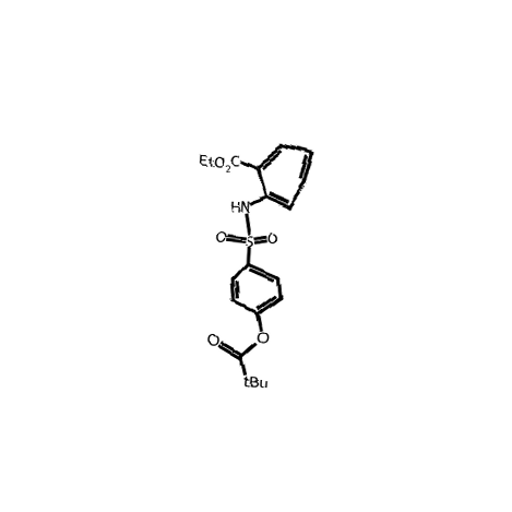 CCOC(=O)c1ccccc1NS(=O)(=O)c1ccc(OC(=O)C(C)(C)C)cc1